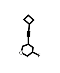 FC1[CH]OCC(C#CC2CCC2)C1